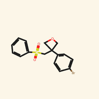 O=S(=O)(CC1(c2ccc(Br)cc2)COC1)c1ccccc1